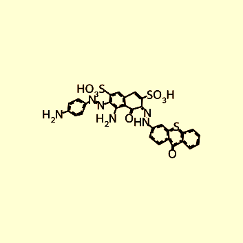 Nc1ccc(/N=N/c2c(S(=O)(=O)O)cc3c(c2N)C(=O)/C(=N\Nc2ccc4c(=O)c5ccccc5sc4c2)C(S(=O)(=O)O)=C3)cc1